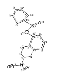 CCCN(CCC)C1CSc2c(cccc2OC(=O)c2ccccc2)C1